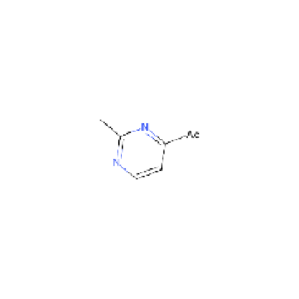 CC(=O)c1ccnc(C)n1